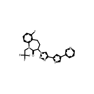 O=C1C(n2cc(-c3cc(-c4cccnc4)cs3)nn2)CCc2c(F)cccc2N1CC(F)(F)F